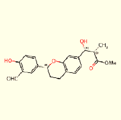 COC(=O)[C@@H](C)[C@@H](O)c1ccc2c(c1)O[C@@H](c1ccc(O)c(C=O)c1)CC2